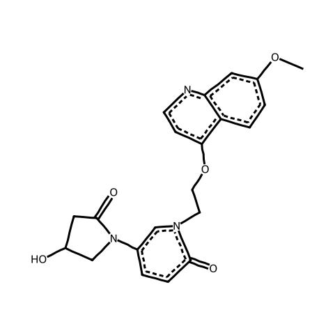 COc1ccc2c(OCCn3cc(N4CC(O)CC4=O)ccc3=O)ccnc2c1